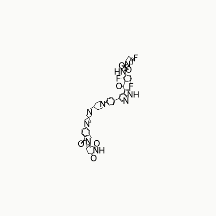 O=C1CC[C@@H](N2Cc3cc(N4CC5(CN(CC6CCN(c7ccc(-c8cnc9[nH]cc(C(=O)c%10c(F)ccc(NS(=O)(=O)N%11CC[C@@H](F)C%11)c%10F)c9c8)cc7)CC6)C5)C4)ccc3C2=O)C(=O)N1